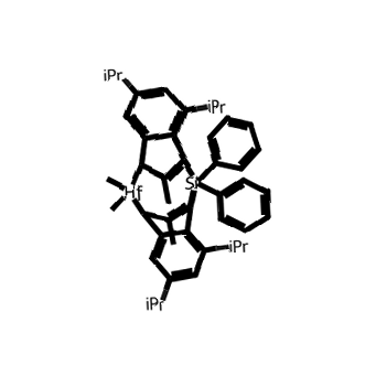 CC1=C2c3c(C(C)C)cc(C(C)C)cc3[CH]1[Hf]([CH3])([CH3])[CH]1C(C)=C(c3c(C(C)C)cc(C(C)C)cc31)[Si]2(c1ccccc1)c1ccccc1